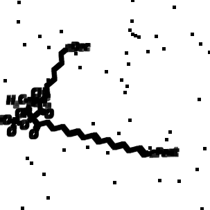 CCCCCC=CCC=CCC=CCC=CCCCC(=O)C(C[N+](C)(C)C)(OP(=O)(O)O)C(=O)CCCCCCCCCCCCCCCCC